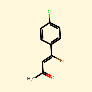 CC(=O)C=C(Br)c1ccc(Cl)cc1